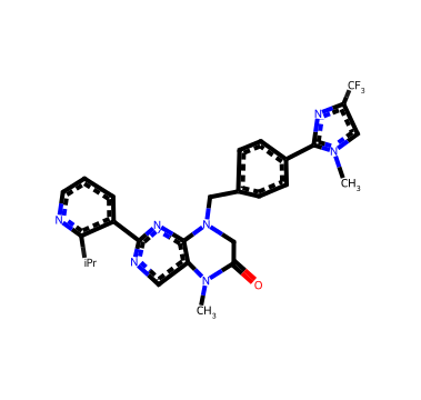 CC(C)c1ncccc1-c1ncc2c(n1)N(Cc1ccc(-c3nc(C(F)(F)F)cn3C)cc1)CC(=O)N2C